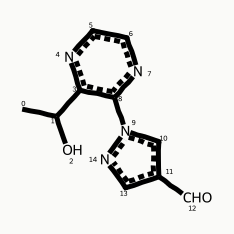 CC(O)c1nccnc1-n1cc(C=O)cn1